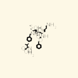 CC(C)[C@H](N)C(=O)O.CSC[C@H](NCc1ccccc1)C(=O)O.NCCCC[C@H](NC(=O)OCc1ccccc1)C(=O)O